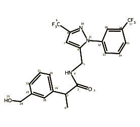 CC(C(=O)NCc1cc(C(F)(F)F)nn1-c1cccc(C(F)(F)F)c1)c1cccc(CO)c1